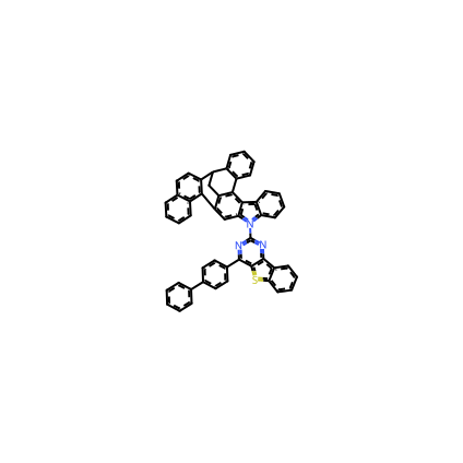 c1ccc(-c2ccc(-c3nc(-n4c5ccccc5c5c6c7c(cc54)-c4c(ccc5ccccc45)C(C7)c4ccccc4-6)nc4c3sc3ccccc34)cc2)cc1